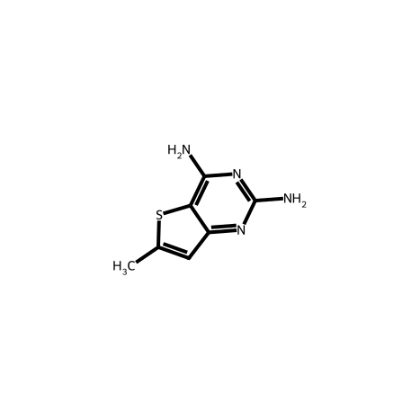 Cc1cc2nc(N)nc(N)c2s1